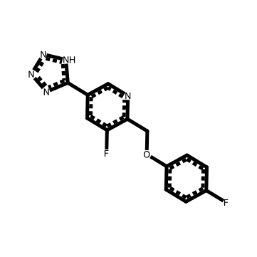 Fc1ccc(OCc2ncc(-c3nnn[nH]3)cc2F)cc1